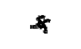 CCC/N=c1/scc(CCl)n1CCC.Cl